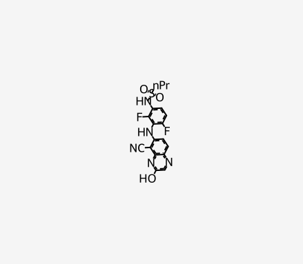 CCCS(=O)(=O)Nc1ccc(F)c(Nc2ccc3ncc(O)nc3c2C#N)c1F